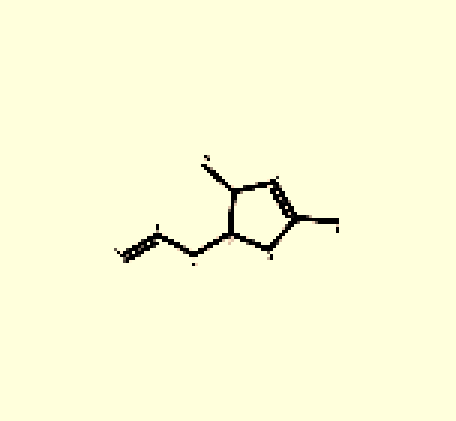 C=CCC1CC(C)=CC1C